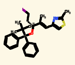 CC(=Cc1csc(C)n1)[C@@H](CCI)O[Si](c1ccccc1)(c1ccccc1)C(C)(C)C